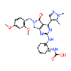 COc1ccc(CN2Cc3nc(N[C@@H]4CCCC[C@@H]4NC(=O)O)nc(-c4cnn(C)c4C)c3C2=O)c(OC)c1